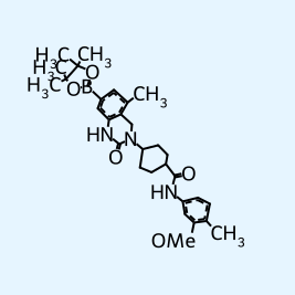 COc1cc(NC(=O)C2CCC(N3Cc4c(C)cc(B5OC(C)(C)C(C)(C)O5)cc4NC3=O)CC2)ccc1C